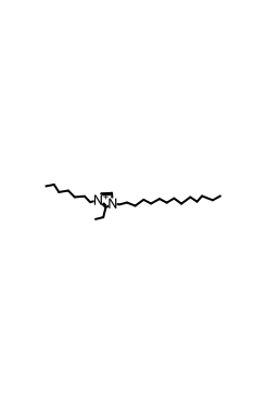 CCCCCCCCCCCCCCn1cc[n+](CCCCCCC)c1CC